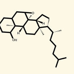 CC(C)CCC[C@@H](C)[C@H]1CC[C@@H]2[C@]1(C)CC[C@@H]1[C@@]3(C)C(O)CCCC3CC3O[C@@]312